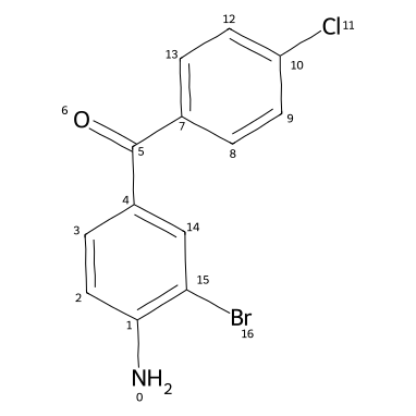 Nc1ccc(C(=O)c2ccc(Cl)cc2)cc1Br